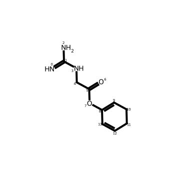 N=C(N)NCC(=O)OC1=CCCC=C1